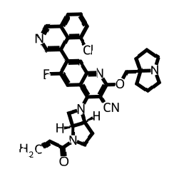 C=CC(=O)N1CC[C@@H]2[C@H]1CN2c1c(C#N)c(OCC23CCCN2CCC3)nc2cc(-c3cncc4cccc(Cl)c34)c(F)cc12